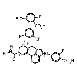 CCN(CC)C(=O)[C@@H]1C=C2c3cccc4[nH]cc(c34)C[C@H]2N(C)C1.Fc1cccc(C(F)(F)F)c1.O=C(O)c1cc(C(F)(F)F)ccc1F.O=C(O)c1ccc(C(F)(F)F)cc1F